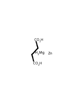 O=C(O)CCC(=O)O.[MgH2].[Zn]